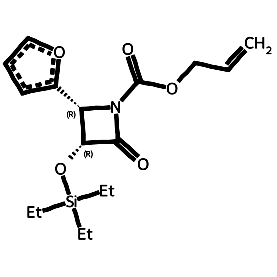 C=CCOC(=O)N1C(=O)[C@H](O[Si](CC)(CC)CC)[C@@H]1c1ccco1